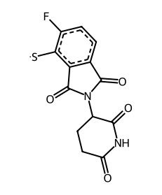 O=C1CCC(N2C(=O)c3ccc(F)c([S])c3C2=O)C(=O)N1